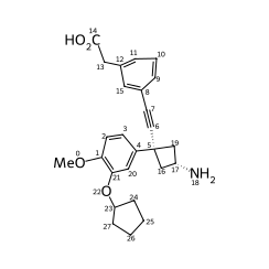 COc1ccc([C@]2(C#Cc3cccc(CC(=O)O)c3)C[C@@H](N)C2)cc1OC1CCCC1